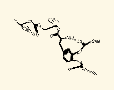 CCCCCC(=O)Oc1ccc(C[C@H](N)C(=O)O[C@@H](C)COC(=O)OC(C)C(C)C)cc1OC(=O)CCCCC